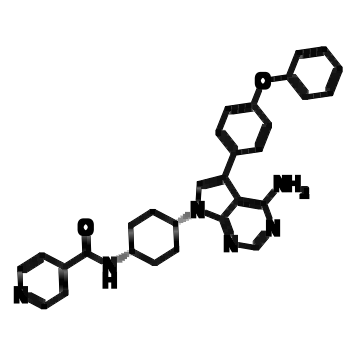 Nc1ncnc2c1c(-c1ccc(Oc3ccccc3)cc1)cn2[C@H]1CC[C@@H](NC(=O)c2ccncc2)CC1